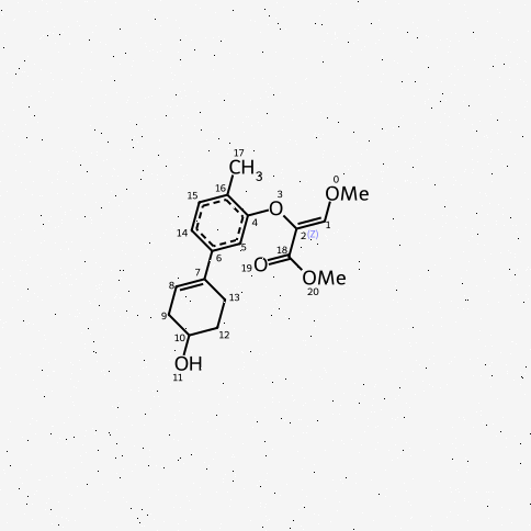 CO/C=C(\Oc1cc(C2=CCC(O)CC2)ccc1C)C(=O)OC